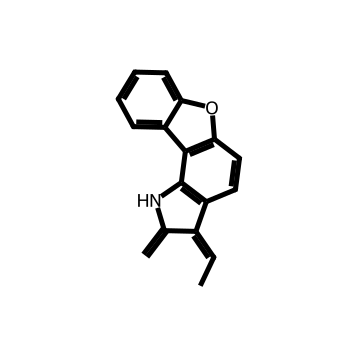 C=c1[nH]c2c(ccc3oc4ccccc4c32)/c1=C/C